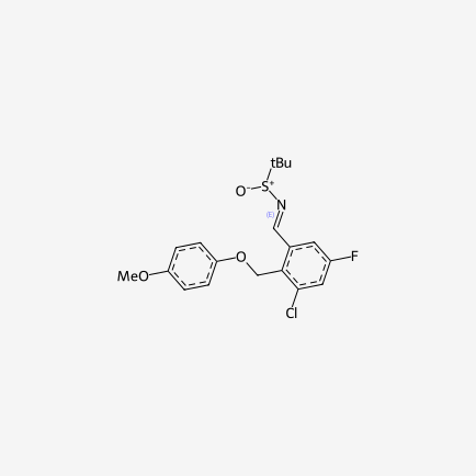 COc1ccc(OCc2c(Cl)cc(F)cc2/C=N/[S+]([O-])C(C)(C)C)cc1